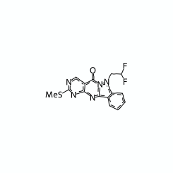 CSc1ncc2c(=O)n3c(nc2n1)c1ccccc1n3CC(F)F